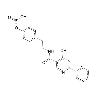 O=C(NCCc1ccc(O[PH](=O)O)cc1)c1cnc(-c2ccccn2)nc1O